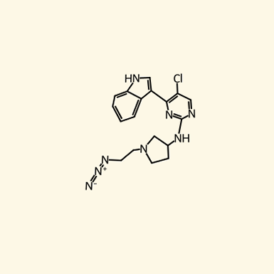 [N-]=[N+]=NCCN1CCC(Nc2ncc(Cl)c(-c3c[nH]c4ccccc34)n2)C1